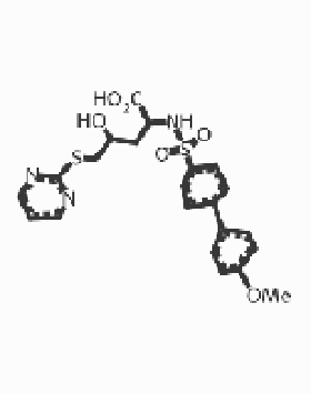 COc1ccc(-c2ccc(S(=O)(=O)NC(CC(O)CSc3ncccn3)C(=O)O)cc2)cc1